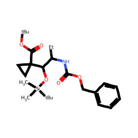 CCC(NC(=O)OCc1ccccc1)C(O[Si](C)(C)C(C)(C)C)C1(C(=O)OC(C)(C)C)CC1